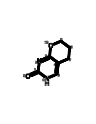 O=c1nc2c(c[nH]1)CCCO2